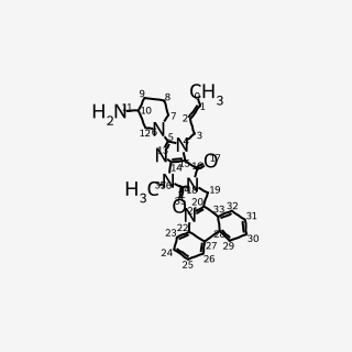 CC=CCn1c(N2CCCC(N)C2)nc2c1c(=O)n(Cc1nc3ccccc3c3ccccc13)c(=O)n2C